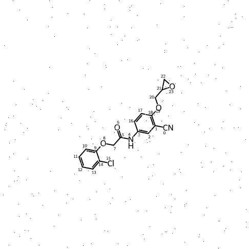 N#Cc1cc(NC(=O)COc2ccccc2Cl)ccc1OCC1CO1